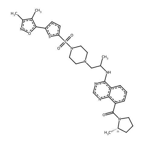 Cc1noc(-c2ccc(S(=O)(=O)N3CCN(CC(C)Nc4ncnc5c(C(=O)N6CCC[C@@H]6C)cccc45)CC3)s2)c1C